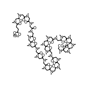 CN(CC(=O)O)C(=O)CN(C)C(=O)CN(C)C(=O)CN(C)C(=O)CN(C)C(=O)CN(C)C(=O)CN(C)C(=O)CN(C)C(=O)CN(C)C(=O)CN(C)C(=O)CN(C)C(=O)CN(C)C(=O)CN(C)C(=O)CN(C)C(=O)CN(C)C(=O)CN(C)C(=O)CN(C)C(=O)CN(C)C(=O)CN(C)C(=O)CN(C)C(=O)CN(C)C(=O)CN(C)C(=O)CN(C)C(=O)CN(C)C(=O)CCC(=O)OC(C)(C)C